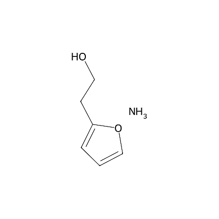 N.OCCc1ccco1